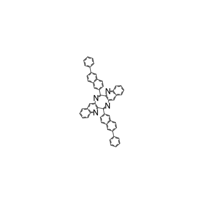 c1ccc(-c2ccc3cc(/C4=N/c5cc6ccccc6nc5/C(c5ccc6cc(-c7ccccc7)ccc6c5)=N\c5cc6ccccc6nc54)ccc3c2)cc1